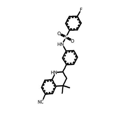 CC1(C)CC(c2cccc(NS(=O)(=O)c3ccc(F)cc3)c2)Nc2ccc(C#N)cc21